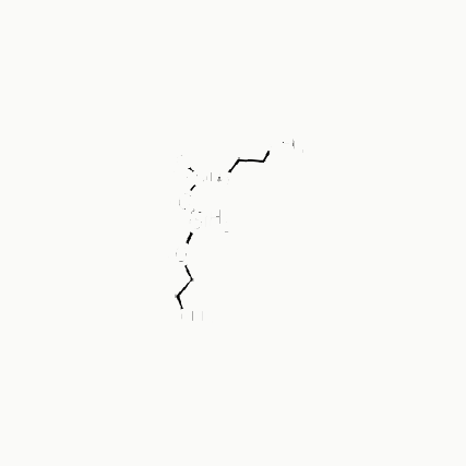 CCCO[SiH2]O[SiH](C)OCCC